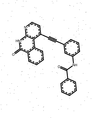 O=C(Nc1cccc(C#Cc2ccnc3[nH]c(=O)c4ccccc4c23)c1)c1ccccc1